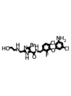 Nc1cc(Cl)cc(Oc2c(Cl)ccc(CNC(=O)c3[nH]c(CNCCO)nc3Br)c2F)c1